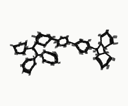 [c]1c(C(=C(c2ccccc2)c2ccccc2)c2ccccc2)cccc1-c1ccc(-c2ccc(N3C4C=CC=CC4=C4C=CC=CC43)cc2)cc1